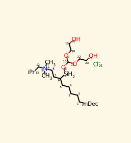 CCCCCCCCCCCCCCCC(CC[N+](C)(C)CC(C)C)[SiH2]OC(OCCO)OCCO.[Cl-]